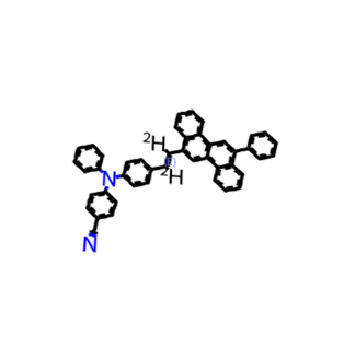 [2H]/C(=C(/[2H])c1cc2c3ccccc3c(-c3ccccc3)cc2c2ccccc12)c1ccc(N(c2ccccc2)c2ccc(C#N)cc2)cc1